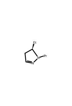 CC[C@@H]1CC=NN1C(C)C